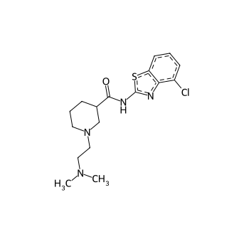 CN(C)CCN1CCCC(C(=O)Nc2nc3c(Cl)cccc3s2)C1